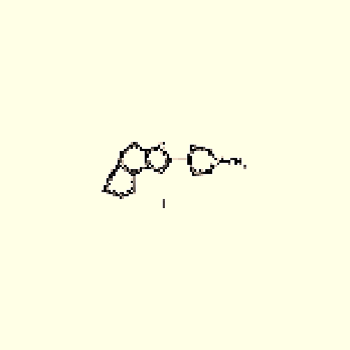 C[n+]1ccc(-c2cc3c(ccc4ccccc43)o2)cc1.[I-]